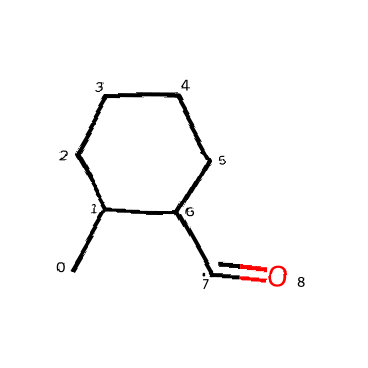 CC1CCCCC1[C]=O